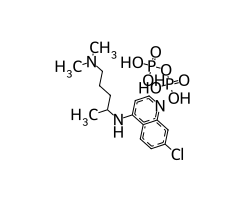 CC(CCCN(C)C)Nc1ccnc2cc(Cl)ccc12.O=P(O)(O)OP(=O)(O)O